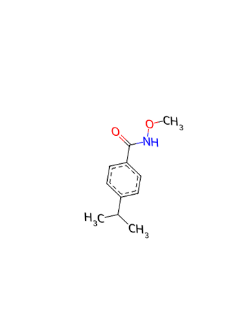 CONC(=O)c1ccc(C(C)C)cc1